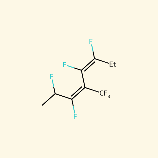 CC/C(F)=C(F)\C(=C(\F)C(C)F)C(F)(F)F